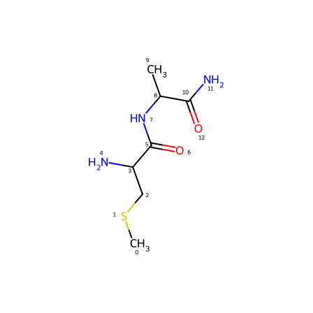 CSCC(N)C(=O)NC(C)C(N)=O